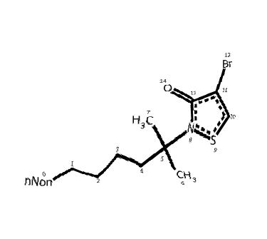 CCCCCCCCCCCCCC(C)(C)n1scc(Br)c1=O